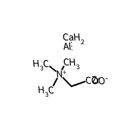 C[N+](C)(C)CC(=O)[O-].[Al].[CaH2].[Zr]